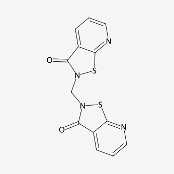 O=c1c2cccnc2sn1Cn1sc2ncccc2c1=O